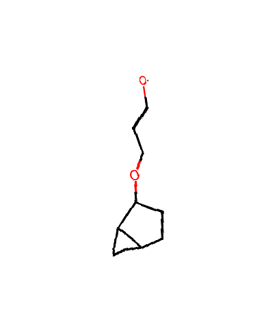 [O]CCCOC1CCC2CC21